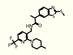 CSc1nc2ccc(C(C)C(=O)NCc3ccc(C(F)(F)F)nc3N3CCC(C)CC3)cc2s1